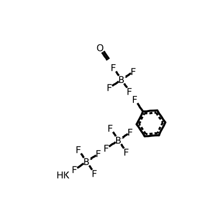 C=O.F[B-](F)(F)F.F[B-](F)(F)F.F[B-](F)(F)F.Fc1ccccc1.[KH]